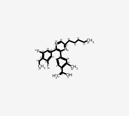 C=C(O)c1ccc(-c2nc(CCCCC)cnc2-c2cc(F)c(CC)c(F)c2)cc1C